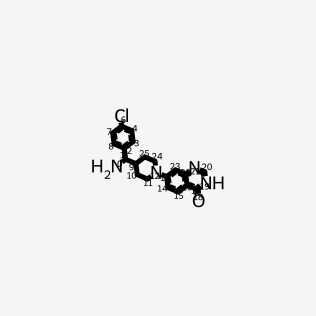 NC(c1ccc(Cl)cc1)C1CCN(c2ccc3c(=O)[nH]cnc3c2)CC1